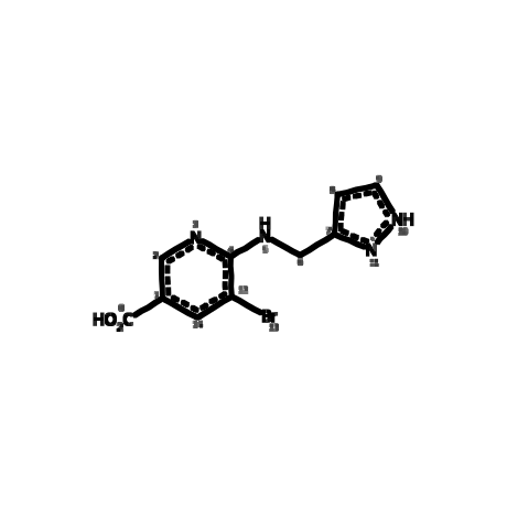 O=C(O)c1cnc(NCc2cc[nH]n2)c(Br)c1